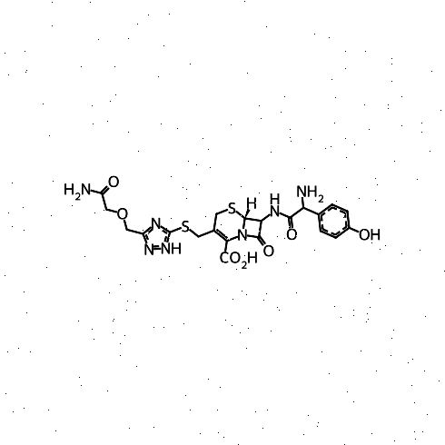 NC(=O)COCc1n[nH]c(SCC2=C(C(=O)O)N3C(=O)C(NC(=O)C(N)c4ccc(O)cc4)[C@H]3SC2)n1